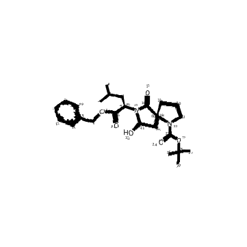 CC(C)C[C@H](C(=O)OCc1ccccc1)N1C(=O)[C@@]2(CCCN2C(=O)OC(C)(C)C)CC1O